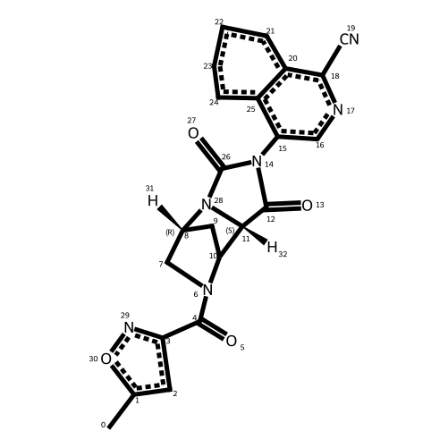 Cc1cc(C(=O)N2C[C@H]3CC2[C@H]2C(=O)N(c4cnc(C#N)c5ccccc45)C(=O)N32)no1